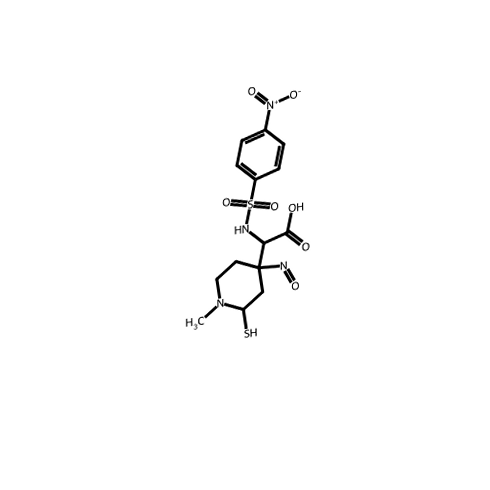 CN1CCC(N=O)(C(NS(=O)(=O)c2ccc([N+](=O)[O-])cc2)C(=O)O)CC1S